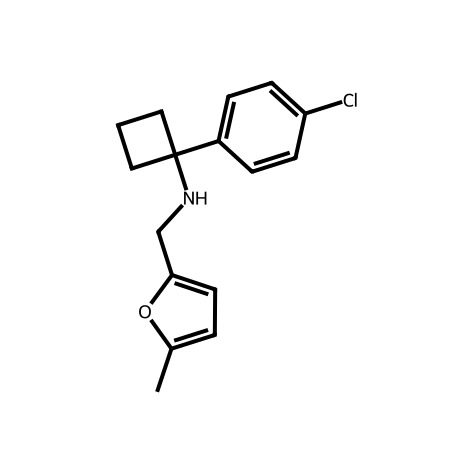 Cc1ccc(CNC2(c3ccc(Cl)cc3)CCC2)o1